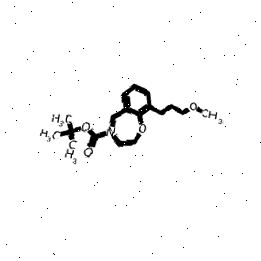 COCCCc1cccc2c1OCCN(C(=O)OC(C)(C)C)C2